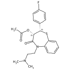 CC(=O)O[C@H]1C(=O)N(CCN(C)C)c2ccccc2S[C@H]1c1ccc(F)cc1